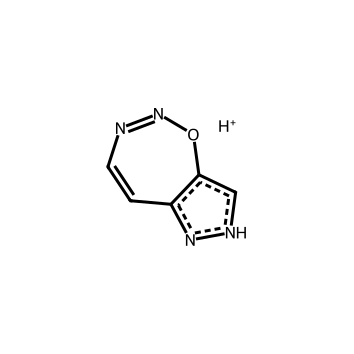 C1=Cc2n[nH]cc2ON=N1.[H+]